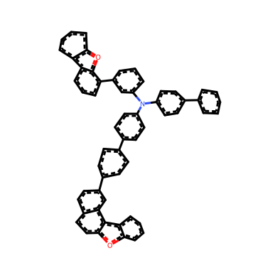 c1ccc(-c2ccc(N(c3ccc(-c4ccc(-c5ccc6ccc7oc8ccccc8c7c6c5)cc4)cc3)c3cccc(-c4cccc5c4oc4ccccc45)c3)cc2)cc1